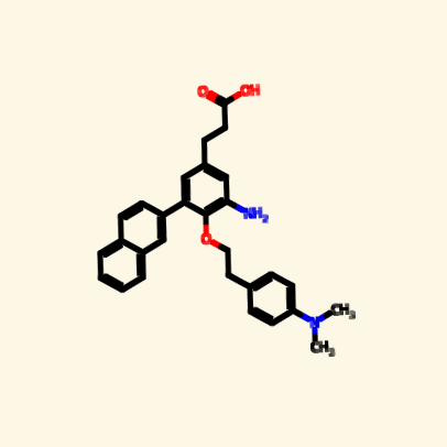 CN(C)c1ccc(CCOc2c(N)cc(CCC(=O)O)cc2-c2ccc3ccccc3c2)cc1